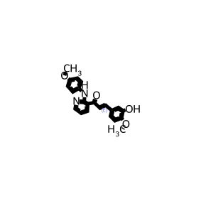 COc1ccc(Nc2ncccc2C(=O)/C=C/c2ccc(OC)c(O)c2)cc1